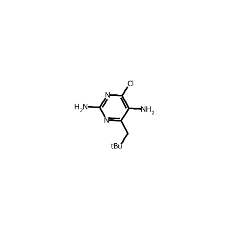 CC(C)(C)Cc1nc(N)nc(Cl)c1N